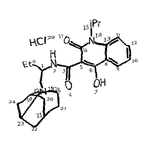 CCC(NC(=O)c1c(O)c2ccccc2n(C(C)C)c1=O)N1C2CC3CC(C2)CC1C3.Cl